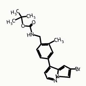 Cc1cc(-c2ccnn3cc(Br)cc23)ccc1CNC(=O)OC(C)(C)C